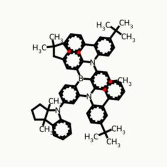 Cc1cc2c3c(c1)N(c1ccc(C(C)(C)C)cc1-c1ccccc1)c1cc4c(cc1B3c1ccc(N3c5ccccc5C5(C)CCCC35C)cc1N2c1ccc(C(C)(C)C)cc1-c1ccccc1)CC(C)(C)C4